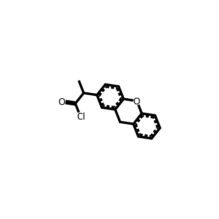 CC(C(=O)Cl)c1ccc2c(c1)Cc1ccccc1O2